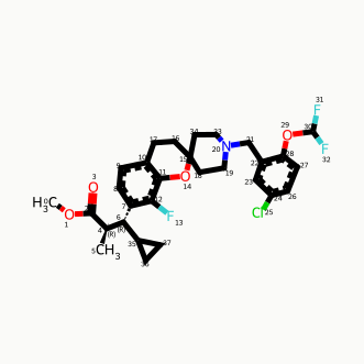 COC(=O)[C@H](C)[C@H](c1ccc2c(c1F)OC1(CC2)CCN(Cc2cc(Cl)ccc2OC(F)F)CC1)C1CC1